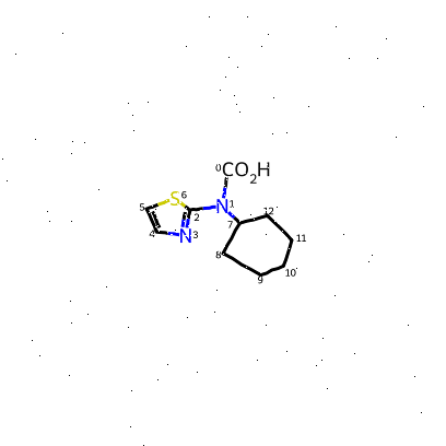 O=C(O)N(c1nccs1)C1CCCCC1